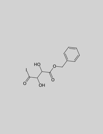 O=C(I)C(O)C(O)C(=O)OCc1ccccc1